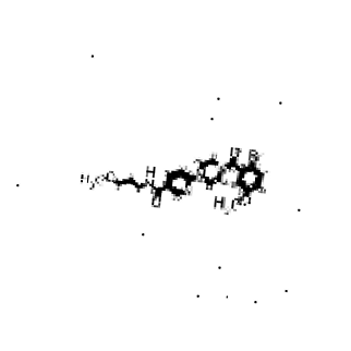 COCCCNC(=O)c1ccc(N2CCN(C(=O)c3cc(OC)ccc3Br)CC2)nc1